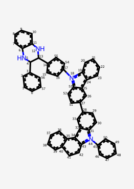 c1ccc(C2Nc3ccccc3NC2c2ccc(-n3c4ccccc4c4cc(-c5ccc6c(c5)c5c7ccccc7ccc5n6-c5ccccc5)ccc43)cc2)cc1